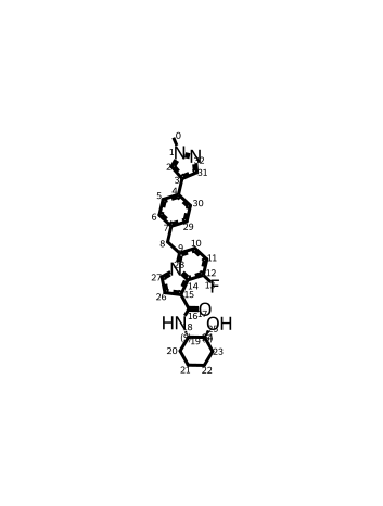 Cn1cc(-c2ccc(Cc3ccc(F)c4c(C(=O)N[C@H]5CCCC[C@@H]5O)ccn34)cc2)cn1